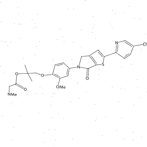 CNCC(=O)OC(C)(C)COc1ccc(N2Cc3cc(-c4ccc(Cl)cn4)sc3C2=O)cc1OC